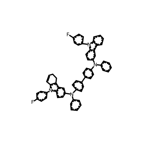 Fc1ccc(-n2c3c(c4cc(N(c5ccccc5)c5ccc(-c6ccc(N(c7ccccc7)c7ccc8c(c7)c7ccccc7n8-c7ccc(F)cc7)cc6)cc5)ccc42)CCC=C3)cc1